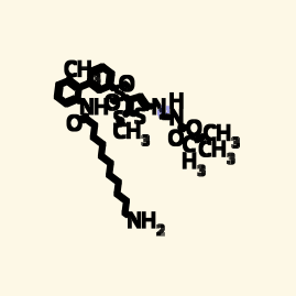 CSc1sc(/N=C/NC(=O)OC(C)(C)C)cc1S(=O)(=O)c1cccc(-c2c(C)cccc2NC(=O)CCCCCCCCCCN)c1